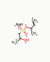 C=CC(C)OS(=O)(=O)CC(C)O.[NaH]